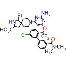 CCC1NC(C(=O)O)CC12CCN(c1cc(O[C@H](c3ccc(Cl)cc3-c3cccc(C(=O)N(C)C)c3)C(F)(F)F)nc(N)n1)CC2